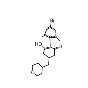 Cc1cc(Br)cc(C)c1C1=C(O)CC(CC2CCOCC2)CC1=O